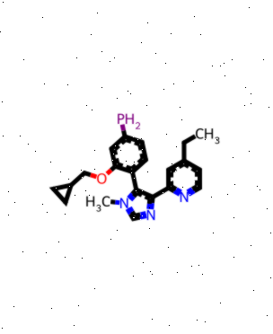 CCc1ccnc(-c2ncn(C)c2-c2ccc(P)cc2OCC2CC2)c1